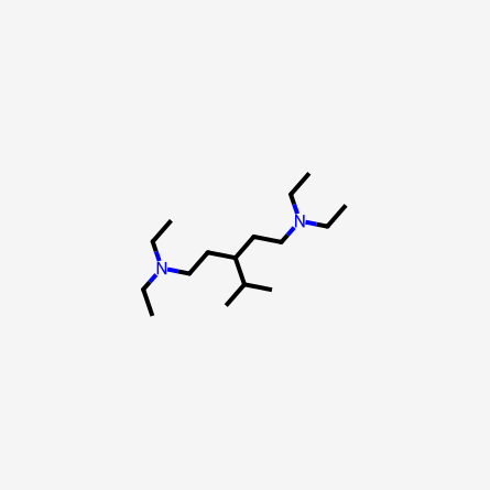 CCN(CC)CCC(CCN(CC)CC)C(C)C